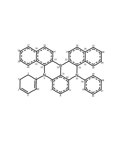 C1=CCCC(N2c3cccc4c3B(c3ccc5ccccc5c32)c2ccc3ccccc3c2N4c2ccccc2)=C1